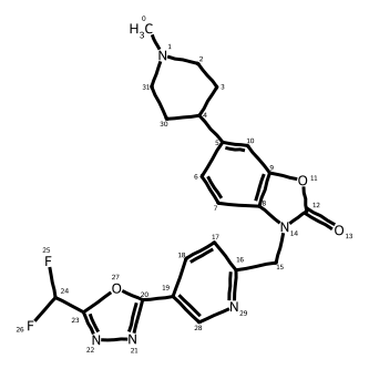 CN1CCC(c2ccc3c(c2)oc(=O)n3Cc2ccc(-c3nnc(C(F)F)o3)cn2)CC1